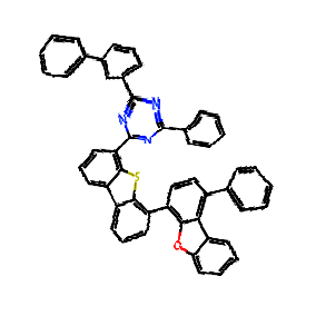 c1ccc(-c2cccc(-c3nc(-c4ccccc4)nc(-c4cccc5c4sc4c(-c6ccc(-c7ccccc7)c7c6oc6ccccc67)cccc45)n3)c2)cc1